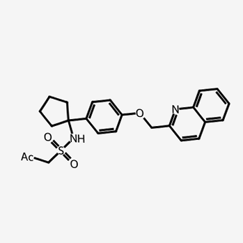 CC(=O)CS(=O)(=O)NC1(c2ccc(OCc3ccc4ccccc4n3)cc2)CCCC1